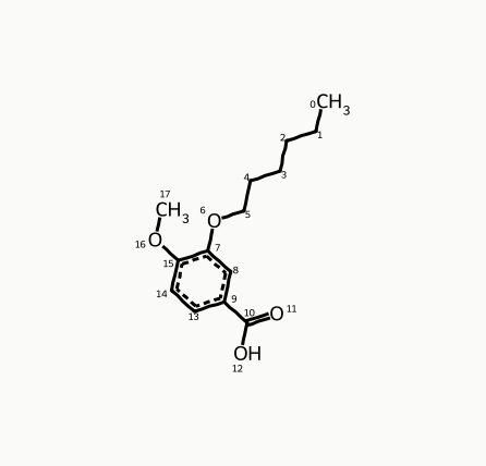 CCCCCCOc1cc(C(=O)O)ccc1OC